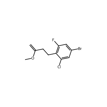 C=C(CCc1c(F)cc(Br)cc1Cl)OC